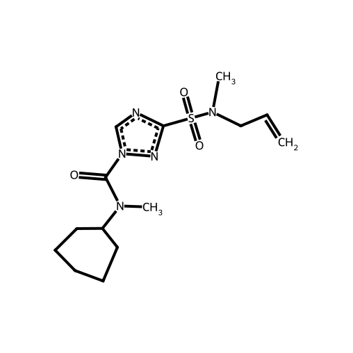 C=CCN(C)S(=O)(=O)c1ncn(C(=O)N(C)C2CCCCC2)n1